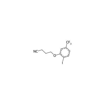 N#CCCCOc1cc(C(F)(F)F)ccc1I